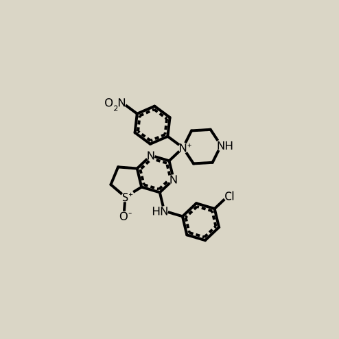 O=[N+]([O-])c1ccc([N+]2(c3nc4c(c(Nc5cccc(Cl)c5)n3)[S+]([O-])CC4)CCNCC2)cc1